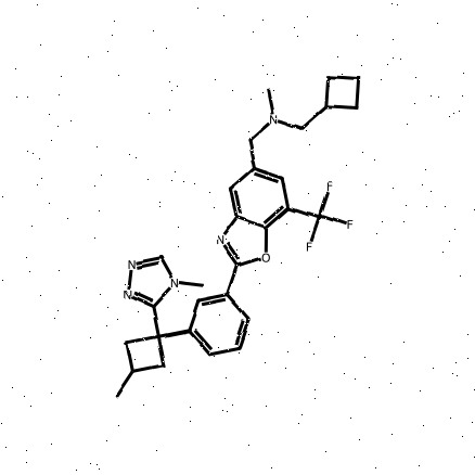 CC1CC(c2cccc(-c3nc4cc(CN(C)CC5CCC5)cc(C(F)(F)F)c4o3)c2)(c2nncn2C)C1